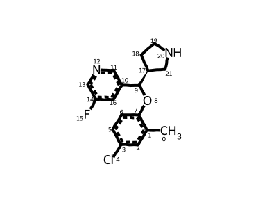 Cc1cc(Cl)ccc1OC(c1cncc(F)c1)[C@H]1CCNC1